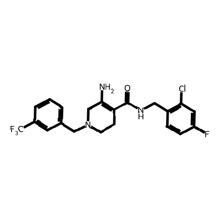 NC1=C(C(=O)NCc2ccc(F)cc2Cl)CCN(Cc2cccc(C(F)(F)F)c2)C1